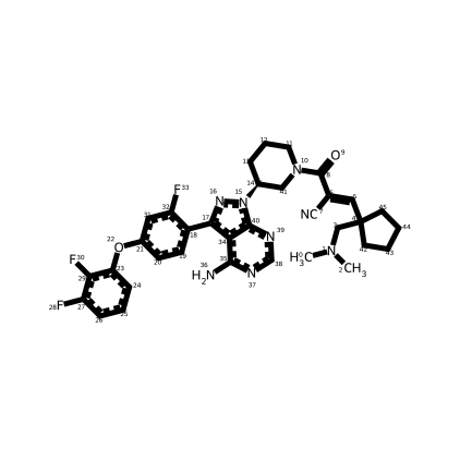 CN(C)CC1(/C=C(\C#N)C(=O)N2CCC[C@H](n3nc(-c4ccc(Oc5cccc(F)c5F)cc4F)c4c(N)ncnc43)C2)CCCC1